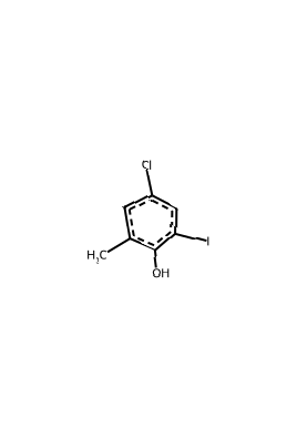 Cc1cc(Cl)cc(I)c1O